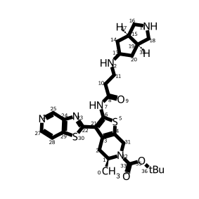 C[C@H]1Cc2c(sc(NC(=O)CCNC3C[C@H]4CNC[C@H]4C3)c2-c2nc3cnccc3s2)CN1C(=O)OC(C)(C)C